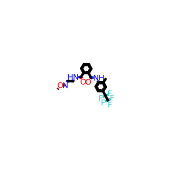 CON=CCNC(=O)c1ccccc1C(=O)Nc1ccc(C(F)(F)C(F)(F)F)cc1C